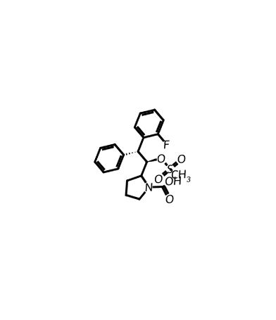 CS(=O)(=O)O[C@@H](C1CCCN1C(=O)O)[C@H](c1ccccc1)c1ccccc1F